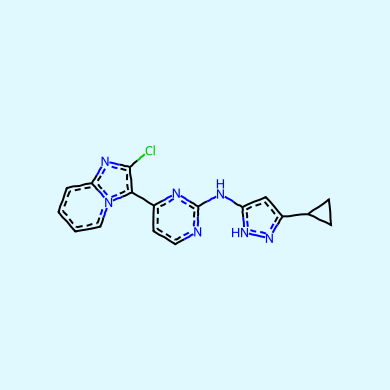 Clc1nc2ccccn2c1-c1ccnc(Nc2cc(C3CC3)n[nH]2)n1